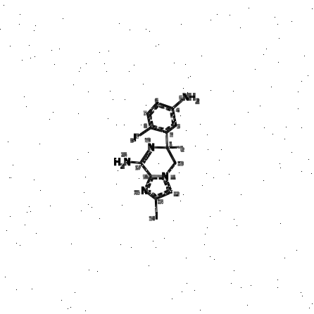 CC1(c2cc(N)ccc2F)Cn2cc(I)nc2C(N)=N1